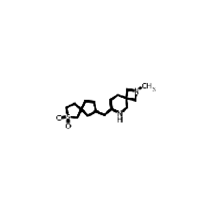 CN1CC2(CCC(CC3CCC4(CCS(=O)(=O)C4)C3)NC2)C1